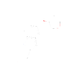 O=C(O)c1cc2cc(O[C@H]3CCOC3)ccc2[nH]1